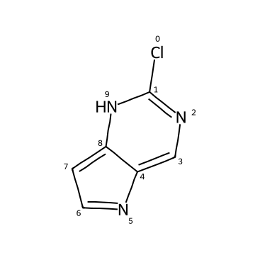 Clc1ncc2nccc-2[nH]1